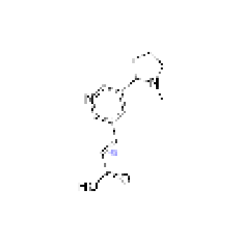 CN1CCCC1c1cncc(/C=C/C(=O)O)c1